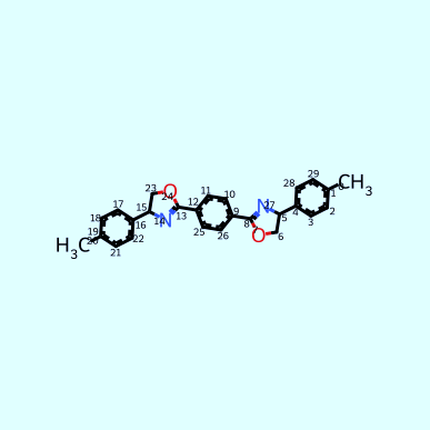 Cc1ccc(C2COC(c3ccc(C4=NC(c5ccc(C)cc5)CO4)cc3)=N2)cc1